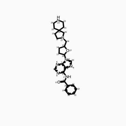 O=C(Nc1ncnc2c1ncn2C1CCC(CN2CCC3(CCNCC3)C2)O1)c1ccccc1